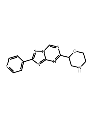 c1cc(-c2nc3nc(C4CNCCO4)ncn3n2)ccn1